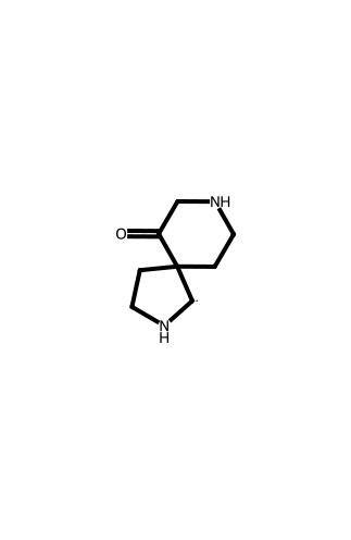 O=C1CNCCC12[CH]NCC2